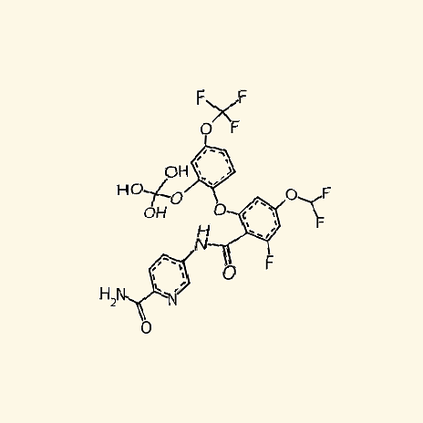 NC(=O)c1ccc(NC(=O)c2c(F)cc(OC(F)F)cc2Oc2ccc(OC(F)(F)F)cc2OC(O)(O)O)cn1